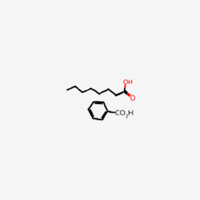 CCCCCCCC(=O)O.O=C(O)c1ccccc1